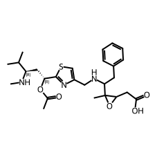 CN[C@H](C[C@@H](OC(C)=O)c1nc(CNC(Cc2ccccc2)C2(C)OC2CC(=O)O)cs1)C(C)C